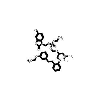 CCOc1cccc(CCc2ccccc2OCC(CN(C)C)OCOP(=S)(OCC)SCn2c(=O)oc3cc(Cl)ccc32)c1